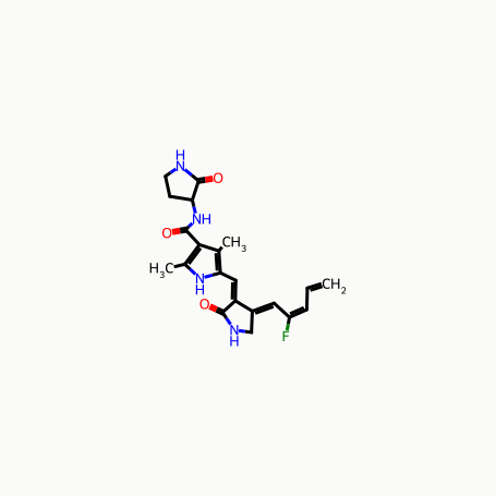 C=C\C=C(F)/C=C1\CNC(=O)\C1=C/c1[nH]c(C)c(C(=O)NC2CCNC2=O)c1C